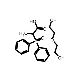 CC(C(=O)O)P(=O)(c1ccccc1)c1ccccc1.OCCOCCO